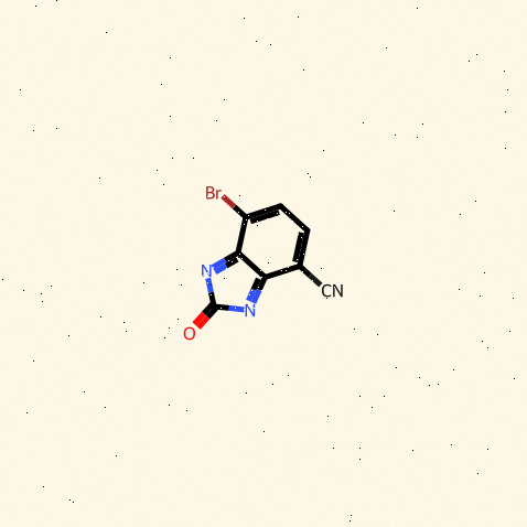 N#Cc1ccc(Br)c2c1=NC(=O)N=2